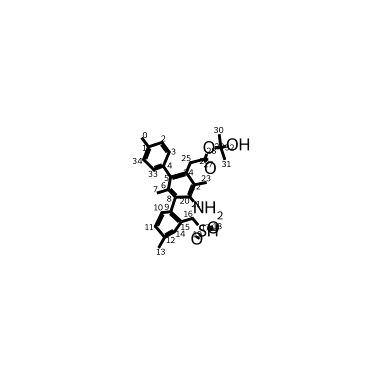 Cc1ccc(-c2c(C)c(-c3ccc(C)cc3C[SH](=O)=O)c(N)c(C)c2CC(=O)OC(C)(C)O)cc1